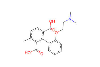 Cc1ccc(C(=O)O)c(-c2ccccc2OCCN(C)C)c1C(=O)O